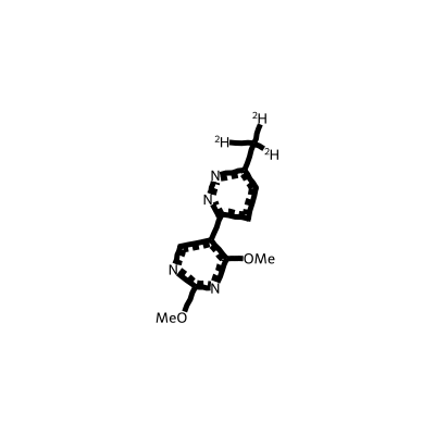 [2H]C([2H])([2H])c1ccc(-c2cnc(OC)nc2OC)nn1